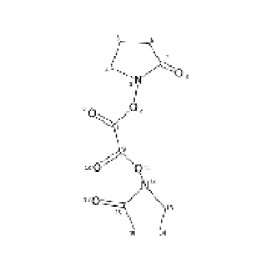 O=C(ON1CCCC1=O)C(=O)ON1CCCC1=O